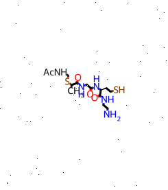 CC(=O)NCSC(C)C(=O)NCC(=O)N[C@@H](CCS)C(=O)NCCN